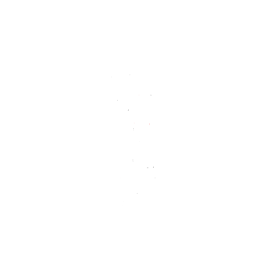 CC(C)(CC(C)(C)c1ccco1)OOc1ccco1